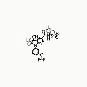 CC1(C)C(=O)N(c2cccc(OC(F)F)c2)c2ncc(C(=O)N[C@]3(C)CCS(=O)(=O)S3)cc21